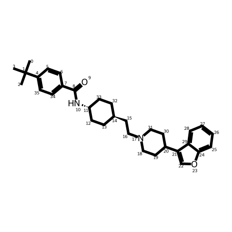 CC(C)(C)c1ccc(C(=O)N[C@H]2CC[C@H](CCN3CCC(c4coc5ccccc45)CC3)CC2)cc1